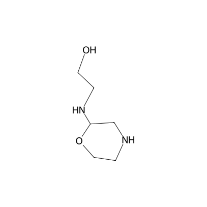 OCCNC1CNCCO1